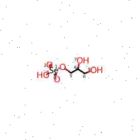 O=[Se](=O)(O)OCC(O)CO